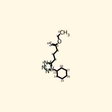 CCOC(=S)CCCc1nnnn1C1CCCCC1